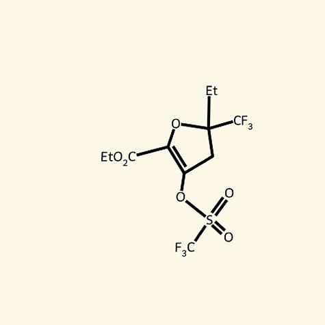 CCOC(=O)C1=C(OS(=O)(=O)C(F)(F)F)CC(CC)(C(F)(F)F)O1